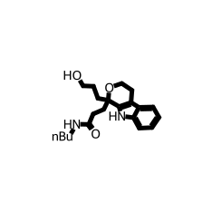 CCCCNC(=O)CCC1(CCCO)OCCc2c1[nH]c1ccccc21